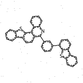 c1cc(-c2nc3ccccc3c3c2ccc2c4ccccc4sc23)cc(-c2cccc3c2sc2ccccc23)c1